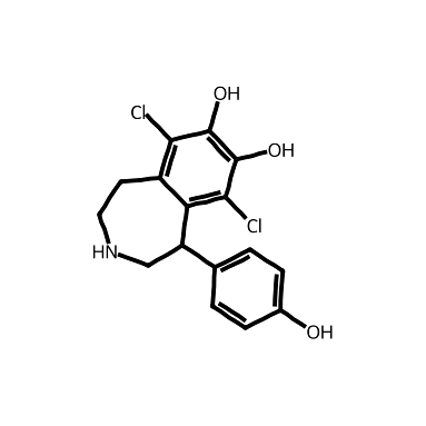 Oc1ccc(C2CNCCc3c(Cl)c(O)c(O)c(Cl)c32)cc1